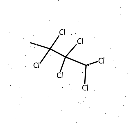 CC(Cl)(Cl)C(Cl)(Cl)[C](Cl)Cl